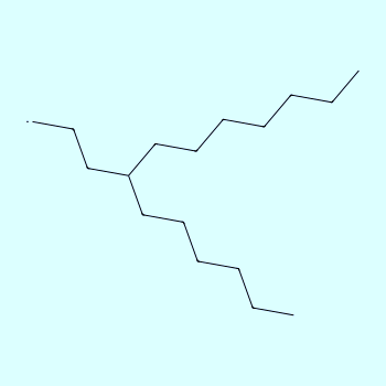 [CH2]CCC(CCCCCC)CCCCCCC